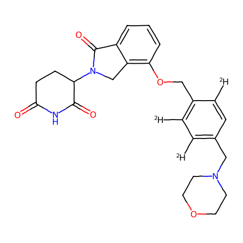 [2H]c1cc(CN2CCOCC2)c([2H])c([2H])c1COc1cccc2c1CN(C1CCC(=O)NC1=O)C2=O